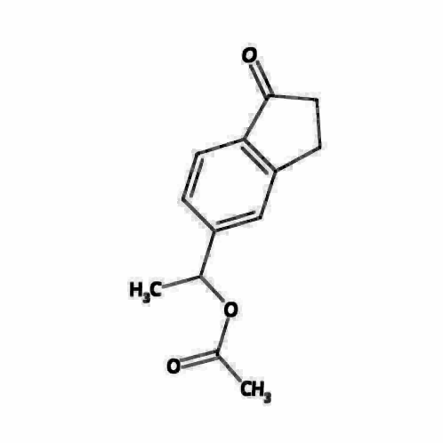 CC(=O)OC(C)c1ccc2c(c1)CCC2=O